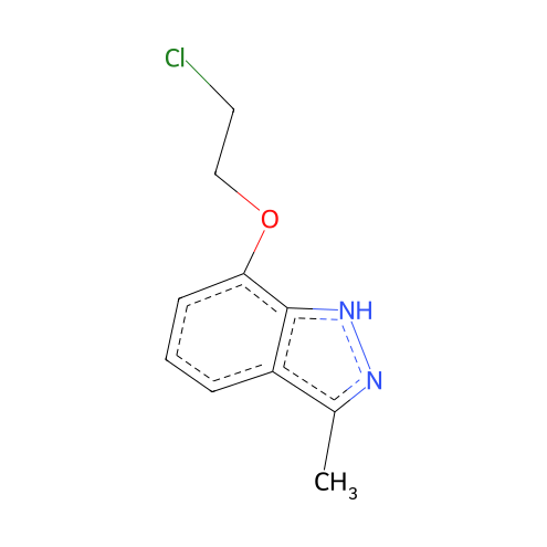 Cc1n[nH]c2c(OCCCl)cccc12